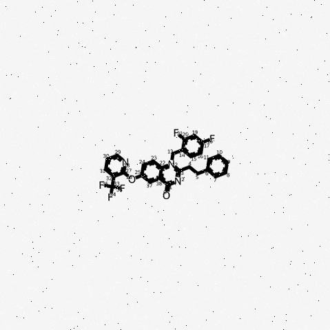 O=c1nc(CCc2ccccc2)n(Cc2ccc(F)cc2F)c2ccc(Oc3ncccc3C(F)(F)F)cc12